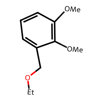 CCOCc1cccc(OC)c1OC